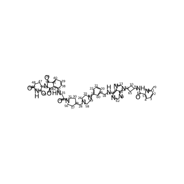 Cc1cccc(C(=O)NC2CC(n3cnc4c(NCc5cccc(N6CCN(CC7CCN(C(=O)CNc8cccc9c8C(=O)N([C@H]8CCC(=O)NC8=O)C9=O)CC7)CC6)c5)ncnc43)C2)n1